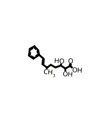 CC(C=Cc1ccccc1)CCC(O)C(O)C(=O)O